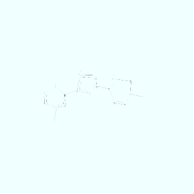 CC1C=C(F)C(c2nc(-c3cccc(C(=O)O)c3)no2)=C(F)C1